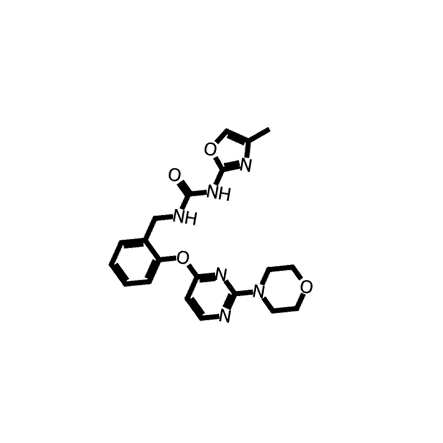 Cc1coc(NC(=O)NCc2ccccc2Oc2ccnc(N3CCOCC3)n2)n1